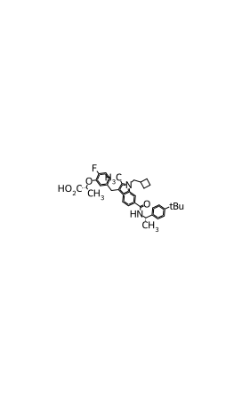 Cc1c(Cc2ccc(F)c(O[C@H](C)C(=O)O)c2)c2ccc(C(=O)N[C@@H](C)c3ccc(C(C)(C)C)cc3)cc2n1CC1CCC1